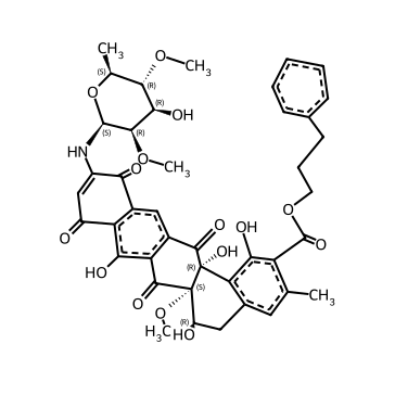 CO[C@@H]1[C@@H](O)[C@@H](OC)[C@@H](NC2=CC(=O)c3c(cc4c(c3O)C(=O)[C@]3(OC)[C@H](O)Cc5cc(C)c(C(=O)OCCCc6ccccc6)c(O)c5[C@]3(O)C4=O)C2=O)O[C@H]1C